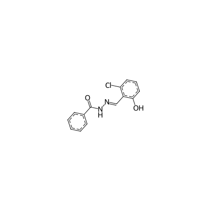 O=C(N/N=C/c1c(O)cccc1Cl)c1ccccc1